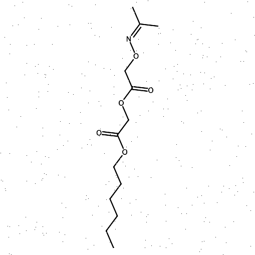 CCCCCCOC(=O)COC(=O)CON=C(C)C